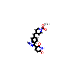 Cn1nc(C2CCC(=O)NC2=O)c2ccc(CC3CCN(C(=O)OC(C)(C)C)CC3)cc21